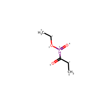 CCO[PH](=O)C(=O)CC